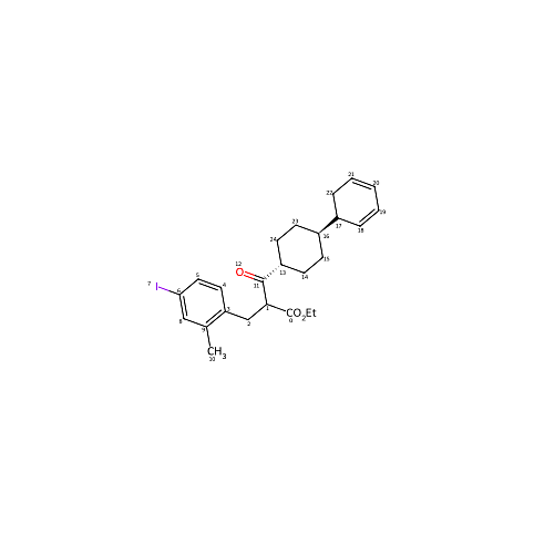 CCOC(=O)C(Cc1ccc(I)cc1C)C(=O)[C@H]1CC[C@H](C2C=CC=CC2)CC1